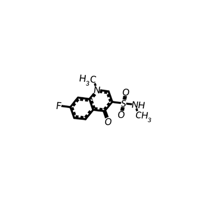 CNS(=O)(=O)c1cn(C)c2cc(F)ccc2c1=O